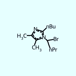 CCCCc1nc(C)c(C)n1C(Br)CCC